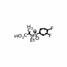 C=C(C(=O)O)N(CC)S(=O)(=O)c1ccc(F)c(F)c1